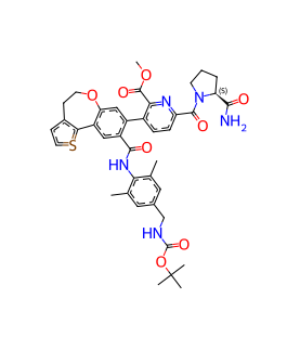 COC(=O)c1nc(C(=O)N2CCC[C@H]2C(N)=O)ccc1-c1cc2c(cc1C(=O)Nc1c(C)cc(CNC(=O)OC(C)(C)C)cc1C)-c1sccc1CCO2